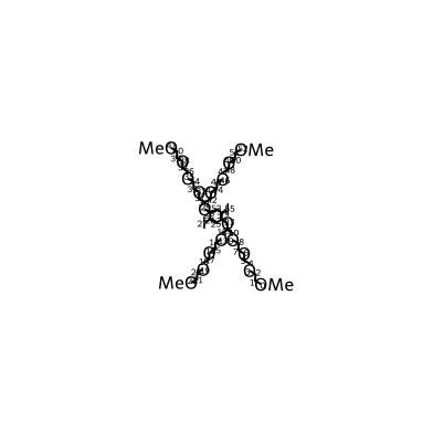 COCCOCCOCCOCC(COCCOCCOCCOC)Oc1cc(I)c(OC(COCCOCCOCCOC)COCCOCCOCCOC)cc1I